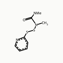 CNC(=O)N(C)SSc1ccccn1